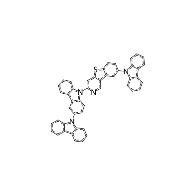 c1ccc2c(c1)c1ccccc1n2-c1ccc2sc3cc(-n4c5ccccc5c5cc(-n6c7ccccc7c7ccccc76)ccc54)ncc3c2c1